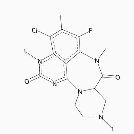 Cc1c(F)c2c3c(nc(=O)n(I)c3c1Cl)N1CCN(I)CC1C(=O)N2C